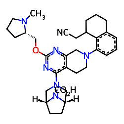 CN1CCC[C@H]1COc1nc2c(c(N3C[C@H]4CC[C@@H](C3)N4C(=O)O)n1)CCN(c1cccc3c1C(CC#N)CCC3)C2